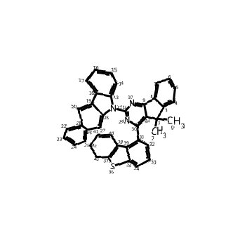 CC1(C)c2ccccc2-c2nc(-n3c4ccccc4c4cc5ccccc5cc43)nc(-c3cccc4sc5c(c34)C=CCC5)c21